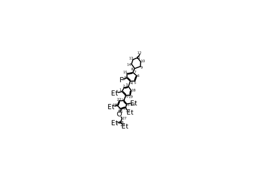 CCc1cc(-c2ccc(C3CCC(C)CC3)cc2F)ccc1-c1cc(CC)c(OCC(CC)CC)c(CC)c1CC